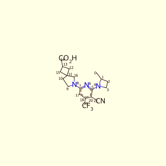 CC1CCN1c1nc(N2CCC3(CC(C(=O)O)C3)C2)cc(C(F)(F)F)c1C#N